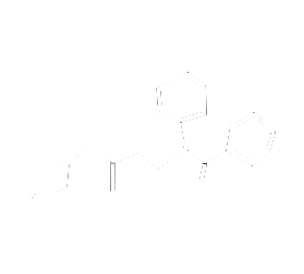 COC[C@H](C)OC(=O)CCN(C(=O)C1=CC=C=C=C1)c1ccccn1